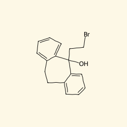 OC1(CCBr)c2ccccc2CCc2ccccc21